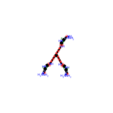 C/C(=C\c1cc(F)c(Nc2ccc(S(=O)(=O)NCCOCCOCCOc3cc(OCCOCCOCCNS(=O)(=O)c4ccc(Nc5c(F)cc(/C=C(\C)C(=O)N=C(N)N)cc5F)cc4)cc(OCCOCCOCCNS(=O)(=O)c4ccc(Nc5c(F)cc(/C=C(\C)C(=O)N=C(N)N)cc5F)cc4)c3)cc2)c(F)c1)C(=O)N=C(N)N